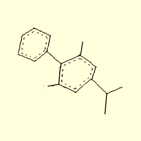 CC(C)c1cc(F)c(-c2ccccc2)c(F)c1